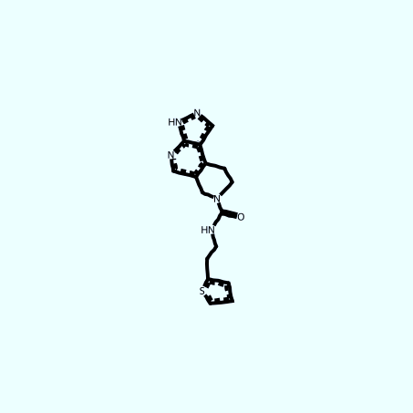 O=C(NCCc1cccs1)N1CCc2c(cnc3[nH]ncc23)C1